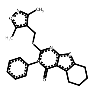 Cc1noc(C)c1CSc1nc2sc3c(c2c(=O)n1-c1ccccc1)CCCC3